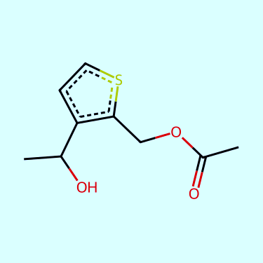 CC(=O)OCc1sccc1C(C)O